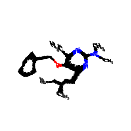 Cc1nc(N(C)C)nc(CC(C)CC(C)(C)C)c1OCc1ccccc1